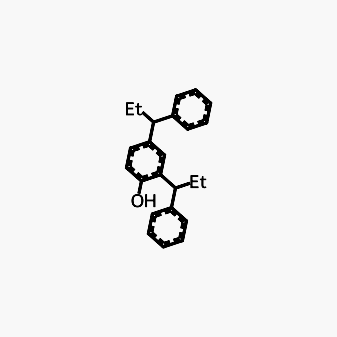 CCC(c1ccccc1)c1ccc(O)c(C(CC)c2ccccc2)c1